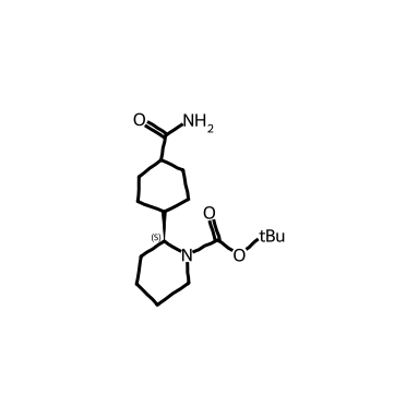 CC(C)(C)OC(=O)N1CCCC[C@H]1C1CCC(C(N)=O)CC1